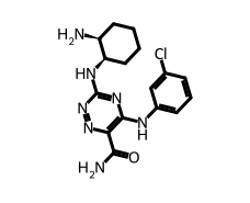 NC(=O)c1nnc(N[C@@H]2CCCC[C@@H]2N)nc1Nc1cccc(Cl)c1